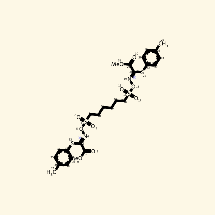 COC(=O)/C(=N/OS(=O)(=O)CCCCCCS(=O)(=O)O/N=C(\Sc1ccc(C)cc1)C(=O)OC)Sc1ccc(C)cc1